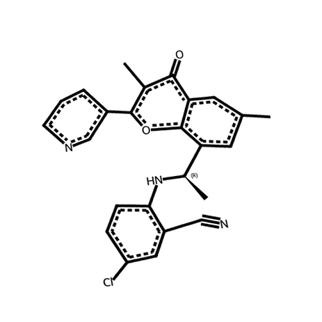 Cc1cc([C@@H](C)Nc2ccc(Cl)cc2C#N)c2oc(-c3cccnc3)c(C)c(=O)c2c1